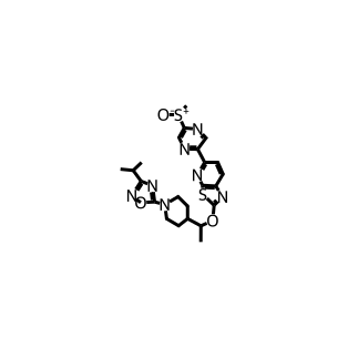 CC(C)c1noc(N2CCC(C(C)Oc3nc4ccc(-c5cnc([S+](C)[O-])cn5)nc4s3)CC2)n1